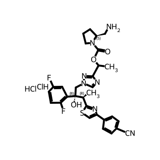 CC(OC(=O)N1CCC[C@H]1CN)c1ncn(C[C@](O)(c2cc(F)ccc2F)[C@@H](C)c2nc(-c3ccc(C#N)cc3)cs2)n1.Cl.Cl